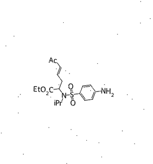 CCOC(=O)C(C/C=C/C(C)=O)N(C(C)C)S(=O)(=O)c1ccc(N)cc1